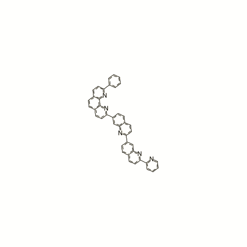 c1ccc(-c2ccc3ccc4ccc(-c5ccc6ccc(-c7ccc8ccc(-c9ccccn9)nc8c7)nc6c5)nc4c3n2)cc1